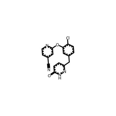 N#Cc1ccnc(Oc2cc(Cc3ccc(=O)[nH]n3)ccc2Cl)c1